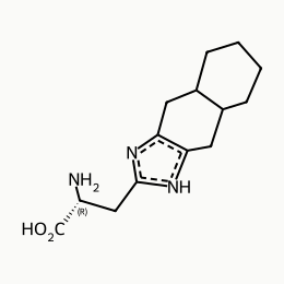 N[C@H](Cc1nc2c([nH]1)CC1CCCCC1C2)C(=O)O